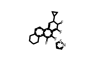 FC1=c2c(F)c(F)c3c4c(ccc3c2=CC(C2CC2)C1F)CCCC4.c1cnsc1